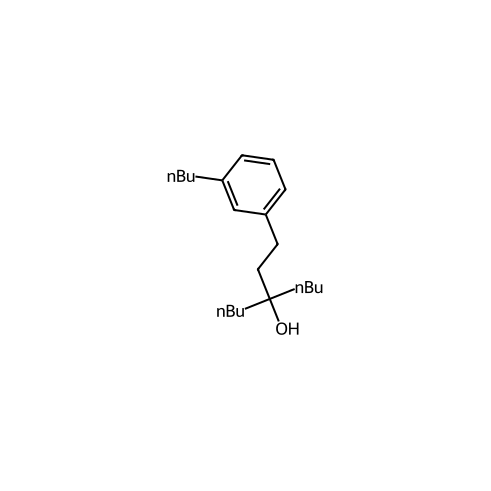 CCCCc1cccc(CCC(O)(CCCC)CCCC)c1